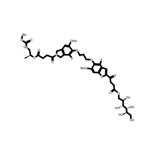 COc1cc2c(c(F)c1OCCCOc1c(OC)cc3sc(C(=O)CCC(=O)OC[C@@H](O)[C@@H](O)[C@H](O)[C@H](O)CO)cc3c1F)CN(C(=O)CCC(=O)O[C@@H](C)CNC(=O)OC(C)(C)C)C2